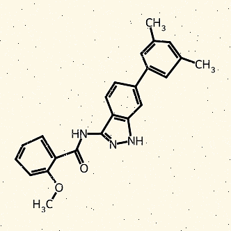 COc1ccccc1C(=O)Nc1n[nH]c2cc(-c3cc(C)cc(C)c3)ccc12